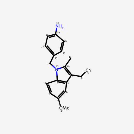 COc1ccc2c(c1)c(CC#N)c(C)n2Cc1ccc(N)cc1